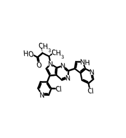 C[C@H]([C@@H](C)C(=O)O)n1cc(-c2ccncc2Cl)c2cnc(-c3c[nH]c4ncc(Cl)cc34)nc21